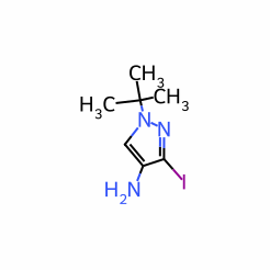 CC(C)(C)n1cc(N)c(I)n1